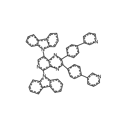 c1cncc(-c2ccc(-c3nc4c(-n5c6ccccc6c6ccccc65)cnc(-n5c6ccccc6c6ccccc65)c4nc3-c3ccc(-c4cccnc4)cc3)cc2)c1